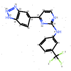 FC(F)(F)c1cccc(Nc2nccc(-c3ccc4[nH]nnc4c3)n2)c1